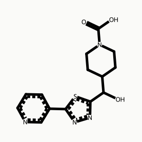 O=C(O)N1CCC(C(O)c2nnc(-c3cccnc3)s2)CC1